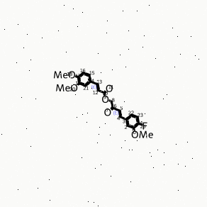 COc1cc(/C=C/C(=O)COC(=O)/C=C/c2ccc(OC)c(OC)c2)ccc1F